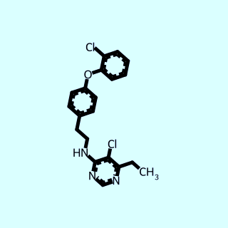 CCc1ncnc(NCCc2ccc(Oc3ccccc3Cl)cc2)c1Cl